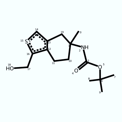 CC1(NC(=O)OC(C)(C)C)CCc2c(csc2CO)C1